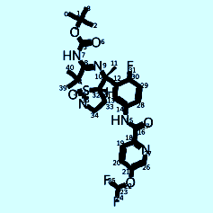 CC(C)(C)OC(=O)NC1=N[C@](C)(C2C=C(NC(=O)c3ccc(OC(F)F)cn3)C=CC2F)[C@@H]2CCN=[S@]2(=O)C1(C)C